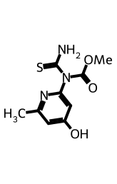 COC(=O)N(C(N)=S)c1cc(O)cc(C)n1